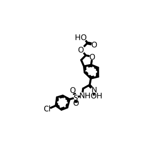 O=C(O)OC1Cc2cc(C(CNS(=O)(=O)c3ccc(Cl)cc3)=NO)ccc2O1